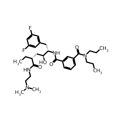 CCCN(CCC)C(=O)c1cccc(C(=O)N[C@@H](Cc2cc(F)cc(F)c2)[C@@H](O)C[C@@H](CC)C(=O)NCCN(C)C)c1